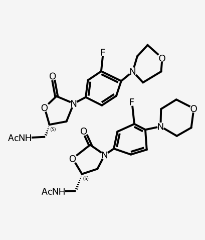 CC(=O)NC[C@H]1CN(c2ccc(N3CCOCC3)c(F)c2)C(=O)O1.CC(=O)NC[C@H]1CN(c2ccc(N3CCOCC3)c(F)c2)C(=O)O1